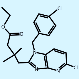 CCOC(=O)CC(C)(C)Cc1nc2nc(Cl)ccc2n1Cc1ccc(Cl)cc1